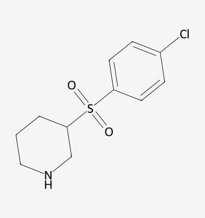 O=S(=O)(c1ccc(Cl)cc1)C1CCCNC1